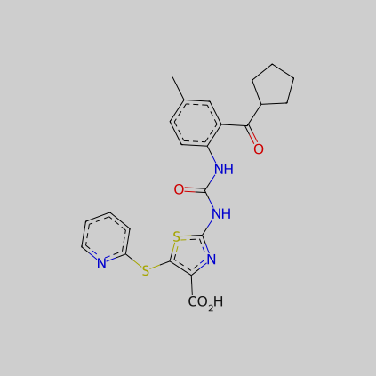 Cc1ccc(NC(=O)Nc2nc(C(=O)O)c(Sc3ccccn3)s2)c(C(=O)C2CCCC2)c1